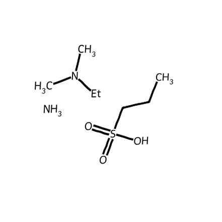 CCCS(=O)(=O)O.CCN(C)C.N